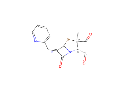 C[C@@]1(C=O)SC2/C(=C\c3ccccn3)C(=O)N2[C@H]1C=O